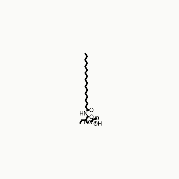 CCCCCCCCCCCCCCCCCC(=O)NC(OP(=O)(O)O)C(C)CC